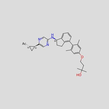 CC(=O)[C@H]1C[C@@H]1c1cnc(N[C@@H]2CCc3c(-c4c(C)cc(OCCC(C)(C)O)cc4C)cccc32)cn1